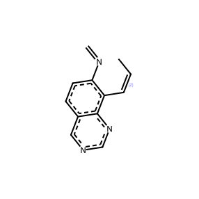 C=Nc1ccc2cncnc2c1/C=C\C